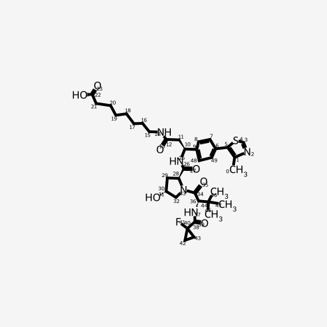 Cc1ncsc1-c1ccc([C@H](CC(=O)NCCCCCCCC(=O)O)NC(=O)[C@@H]2C[C@@H](O)CN2C(=O)[C@@H](NC(=O)C2(F)CC2)C(C)(C)C)cc1